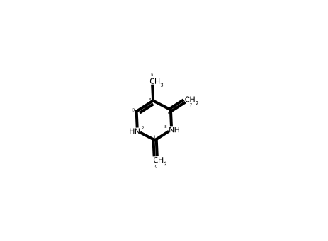 C=C1NC=C(C)C(=C)N1